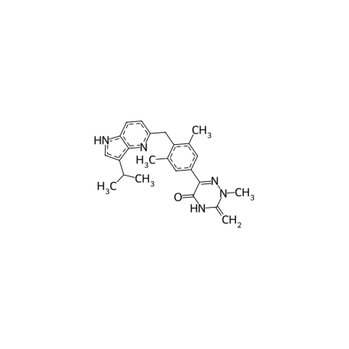 C=C1NC(=O)C(c2cc(C)c(Cc3ccc4[nH]cc(C(C)C)c4n3)c(C)c2)=NN1C